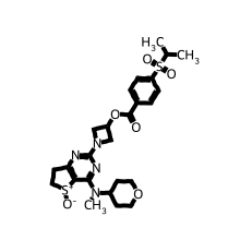 CC(C)S(=O)(=O)c1ccc(C(=O)OC2CN(c3nc4c(c(N(C)C5CCOCC5)n3)[S+]([O-])CC4)C2)cc1